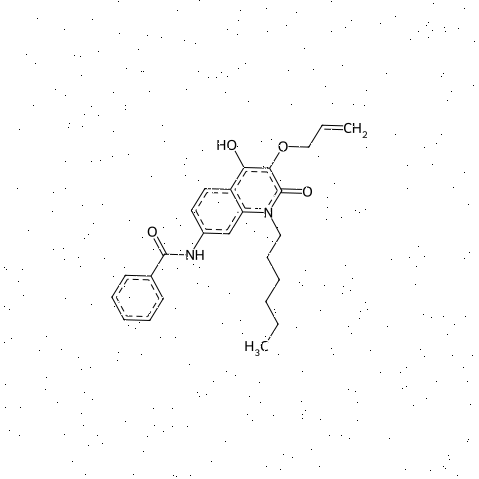 C=CCOc1c(O)c2ccc(NC(=O)c3ccccc3)cc2n(CCCCCC)c1=O